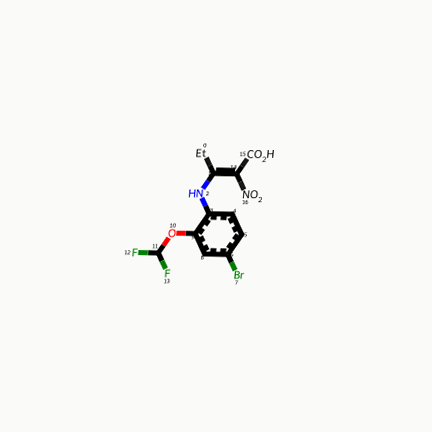 CCC(Nc1ccc(Br)cc1OC(F)F)=C(C(=O)O)[N+](=O)[O-]